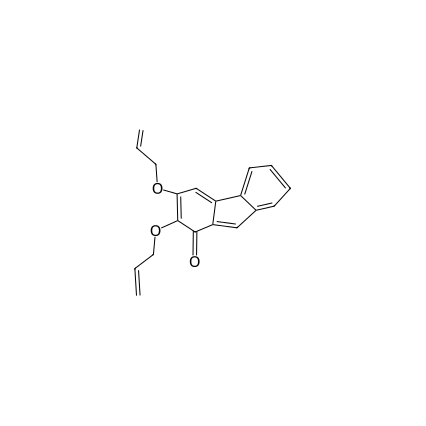 C=CCOC1=C(OCC=C)C(=O)C2=Cc3ccccc3C2=C1